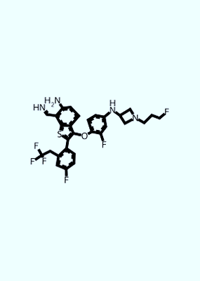 N=Cc1c(N)ccc2c(Oc3ccc(NC4CN(CCCF)C4)cc3F)c(-c3ccc(F)cc3CC(F)(F)F)sc12